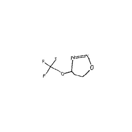 FC(F)(F)OC1CO[C]=N1